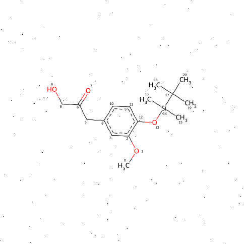 COc1cc(CC(=O)CO)ccc1O[Si](C)(C)C(C)(C)C